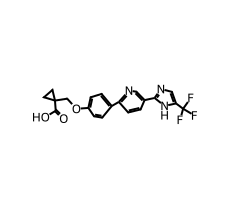 O=C(O)C1(COc2ccc(-c3ccc(-c4ncc(C(F)(F)F)[nH]4)cn3)cc2)CC1